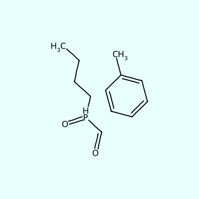 CCCC[PH](=O)C=O.Cc1ccccc1